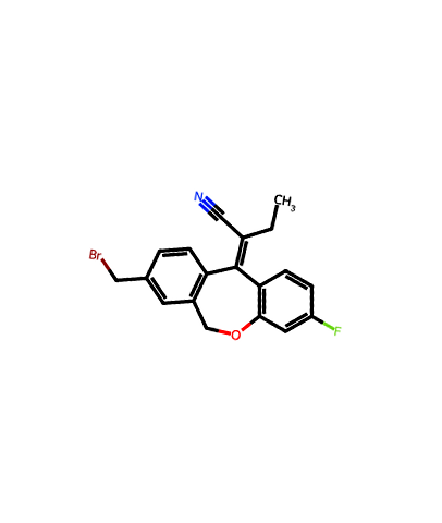 CCC(C#N)=C1c2ccc(CBr)cc2COc2cc(F)ccc21